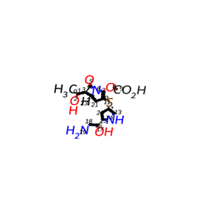 C[C@@H](O)[C@H]1C(=O)N2C(OC(=O)O)=C(S[C@@H]3CN[C@H](C(O)CN)C3)C[C@H]12